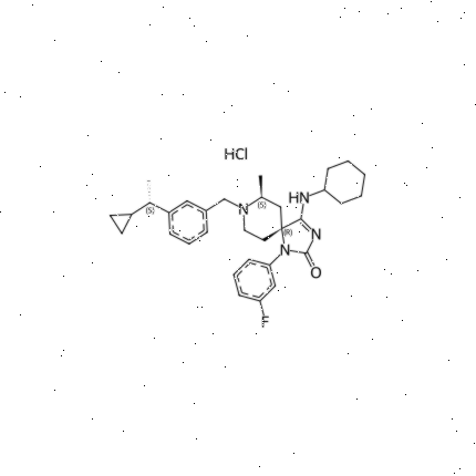 C[C@H](c1cccc(CN2CC[C@@]3(C[C@@H]2C)C(NC2CCCCC2)=NC(=O)N3c2cccc(F)c2)c1)C1CC1.Cl